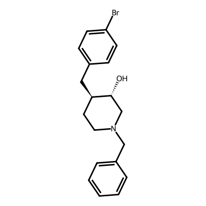 O[C@@H]1CN(Cc2ccccc2)CC[C@H]1Cc1ccc(Br)cc1